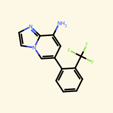 Nc1cc(-c2ccccc2C(F)(F)F)cn2ccnc12